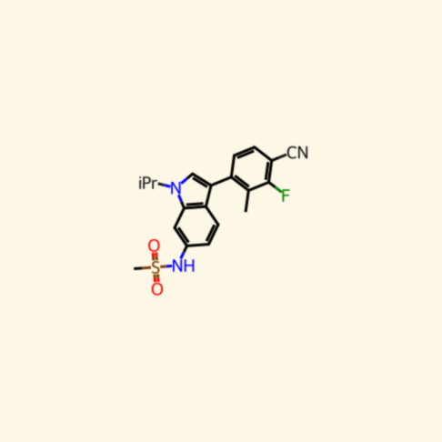 Cc1c(-c2cn(C(C)C)c3cc(NS(C)(=O)=O)ccc23)ccc(C#N)c1F